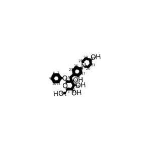 OC[C@H]1O[C@@H](Oc2ccccc2)[C@@](O)(Cc2ccc(N3CCC(O)CC3)cc2)[C@@H](O)[C@@H]1O